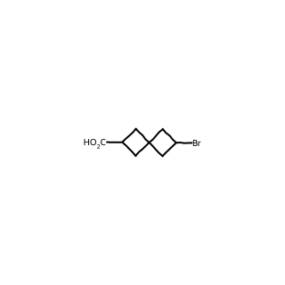 O=C(O)C1CC2(CC(Br)C2)C1